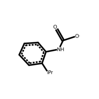 CC(C)c1ccccc1NC([O])=O